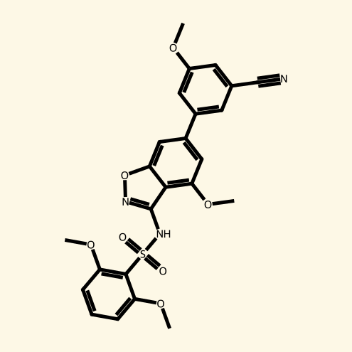 COc1cc(C#N)cc(-c2cc(OC)c3c(NS(=O)(=O)c4c(OC)cccc4OC)noc3c2)c1